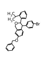 CC(C)c1ccccc1C1OCc2cc(OCc3ccccc3)ccc2C1c1ccc(Br)cc1